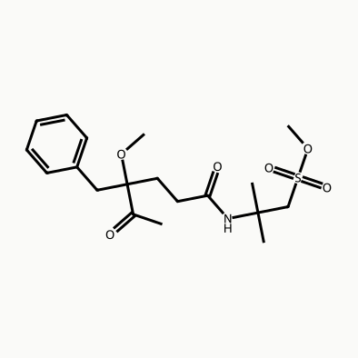 COC(CCC(=O)NC(C)(C)CS(=O)(=O)OC)(Cc1ccccc1)C(C)=O